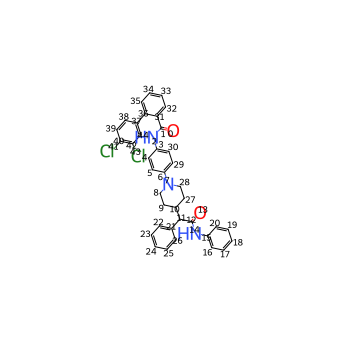 O=C(Nc1ccc(N2CCC(C(C(=O)Nc3ccccc3)c3ccccc3)CC2)cc1)c1ccccc1-c1ccc(Cl)c(Cl)c1